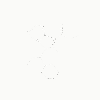 CCC(C1CCOCC1)n1c(C)c(C(=O)OC)c2ccccc21